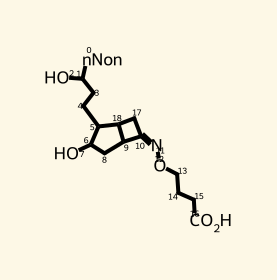 CCCCCCCCCC(O)CCC1C(O)CC2C(=NOCCCC(=O)O)CC21